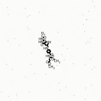 CCOC(=O)CC[C@@H](NC(=O)c1ccc(NCC2CNc3nc(NC(C)=O)[nH]c(=O)c3C2)cc1)C(=O)OCC